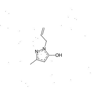 C=CCn1nc(C)cc1O